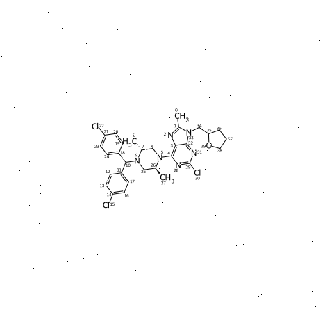 Cc1nc2c(N3C[C@@H](C)N(C(c4ccc(Cl)cc4)c4ccc(Cl)cc4)C[C@@H]3C)nc(Cl)nc2n1CC1CCCO1